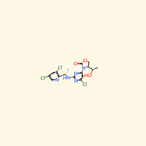 C[C@H](Nc1nc(Cl)cc(N2C(=O)OCC2[C@@H](C)O)n1)c1ncc(Cl)cc1Cl